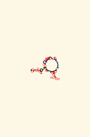 CO[C@H]1CC2CC[C@@H](C)[C@@](O)(O2)C(=O)C(=O)N2CCCCC2C(=O)O[C@H]([C@H](C)C[C@@H]2CC[C@@H](OC(=O)OCC3COC(C)(C)O3)[C@H](OC)C2)CC(=O)[C@H](C)/C=C(\C)[C@@H](OC(=O)OCC(O)CO)[C@@H](OC)C(=O)[C@H](C)C[C@H](C)/C=C/C=C/C=C/1C